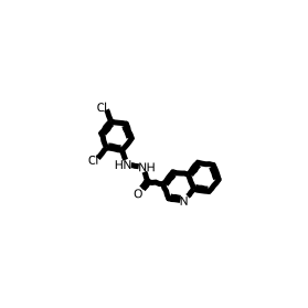 O=C(NNc1ccc(Cl)cc1Cl)c1cnc2ccccc2c1